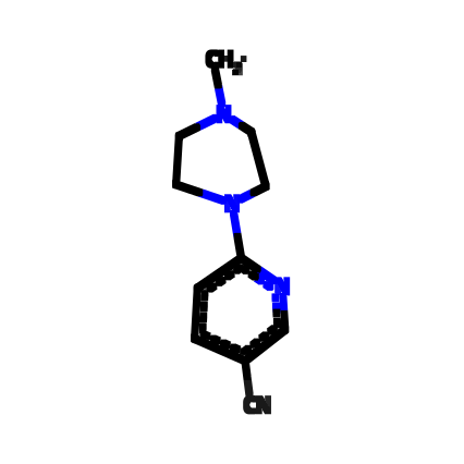 [CH2]N1CCN(c2ccc(C#N)cn2)CC1